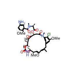 COc1ccc(N)cc1C(=O)N(C)[C@@H](C)C(=O)O[C@H]1CC(=O)N(C)c2cc(cc(OC)c2Cl)C/C(C)=C/C=C/[C@@H](OC)[C@@]2(O)C[C@H](OC(=O)N2)[C@@H](C)[C@@H]2O[C@@]12C